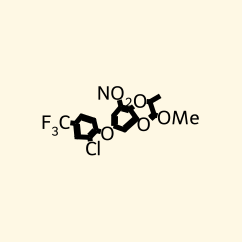 COC(=O)C(C)Oc1ccc(Oc2ccc(C(F)(F)F)cc2Cl)cc1[N+](=O)[O-]